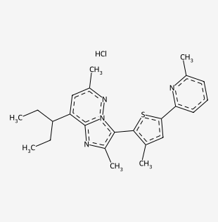 CCC(CC)c1cc(C)nn2c(-c3sc(-c4cccc(C)n4)cc3C)c(C)nc12.Cl